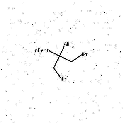 CCCCC[C]([AlH2])(CC(C)C)CC(C)C